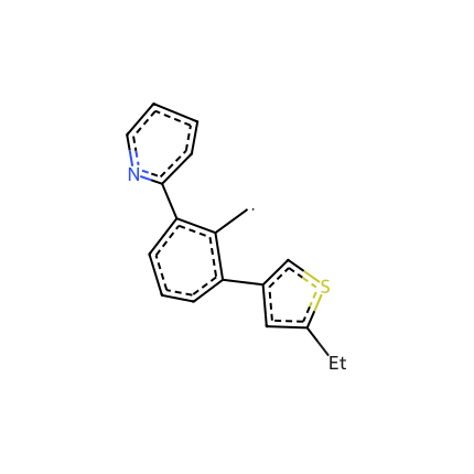 [CH2]c1c(-c2csc(CC)c2)cccc1-c1ccccn1